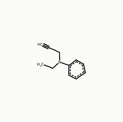 C#CCN(CC)c1[c]cccc1